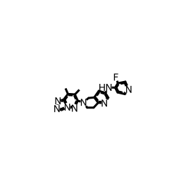 Cc1c(N2CCc3ncc(Nc4ccncc4F)cc3C2)nn2cnnc2c1C